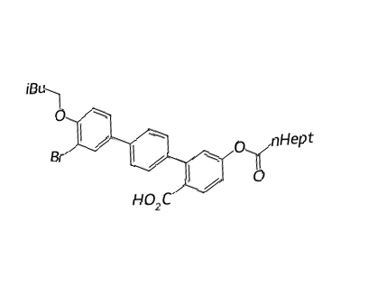 CCCCCCCC(=O)Oc1ccc(C(=O)O)c(-c2ccc(-c3ccc(OCC(C)CC)c(Br)c3)cc2)c1